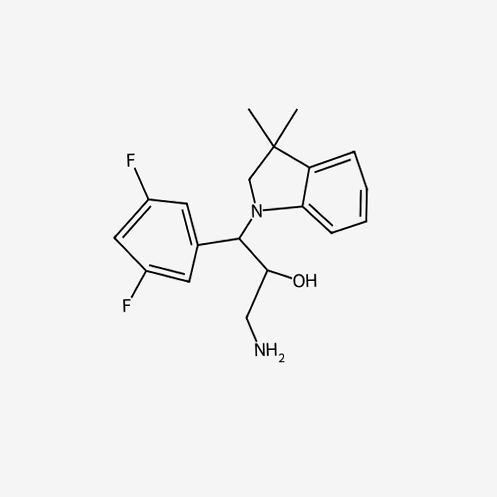 CC1(C)CN(C(c2cc(F)cc(F)c2)C(O)CN)c2ccccc21